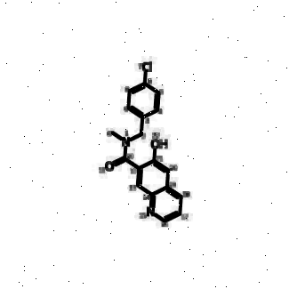 CN(Cc1ccc(Cl)cc1)C(=O)c1cc2ncccc2cc1O